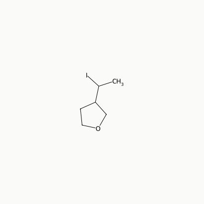 CC(I)C1CCOC1